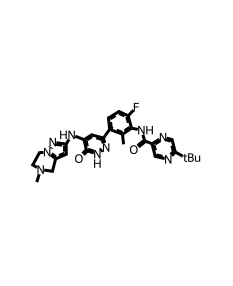 Cc1c(-c2cc(Nc3cc4n(n3)CCN(C)C4)c(=O)[nH]n2)ccc(F)c1NC(=O)c1cnc(C(C)(C)C)cn1